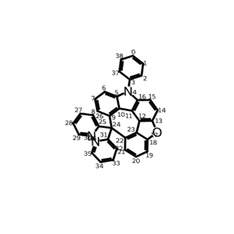 c1ccc(-n2c3cccc4c3c3c5c(ccc32)oc2cccc(c25)C4(c2ccccn2)c2ccccn2)cc1